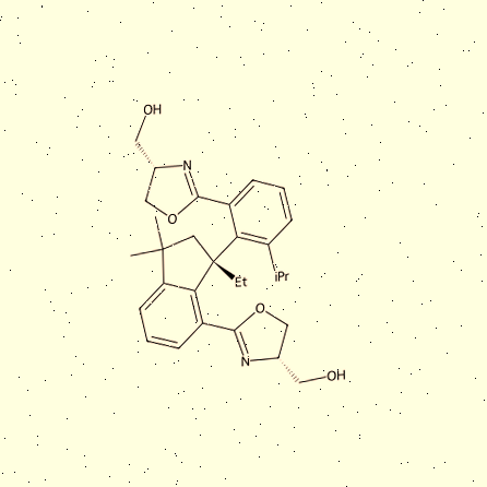 CC[C@]1(c2c(C3=N[C@@H](CO)CO3)cccc2C(C)C)CC(C)(C)c2cccc(C3=N[C@@H](CO)CO3)c21